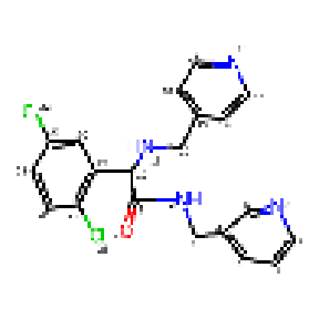 O=C(NCc1cccnc1)C(NCc1ccncc1)c1cc(Cl)ccc1Cl